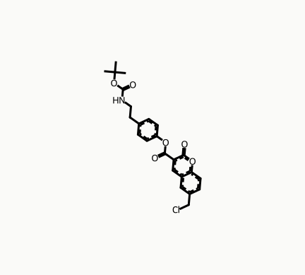 CC(C)(C)OC(=O)NCCc1ccc(OC(=O)c2cc3cc(CCl)ccc3oc2=O)cc1